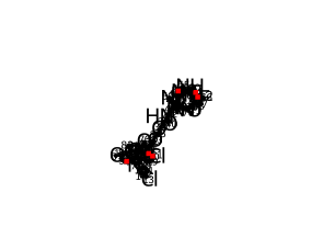 COc1ccc(C2=N[C@@H](c3ccc(Cl)cc3)[C@@H](c3ccc(Cl)cc3)N2C(=O)N2CCN(CCOCCOCCC(=O)NCCn3nc4c(c3C#N)-c3cnc(N)c(n3)N3CCC[C@@H]3c3cc(F)ccc3C(=O)N(C)C4)C(=O)C2)c(OC(C)C)c1